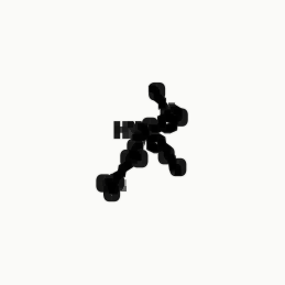 COCCCN1CCOc2ccc(CO[C@H]3CNC[C@@H](COC(=O)OCCCCO[N+](=O)[O-])[C@@H]3c3ccc(COCCOC)cc3)cc21